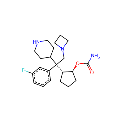 NC(=O)O[C@H]1CCC[C@@H]1C(CN1CCC1)(c1cccc(F)c1)C1CCNCC1